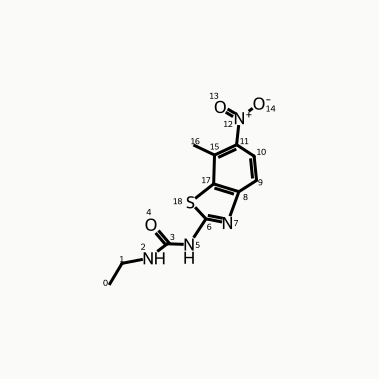 CCNC(=O)Nc1nc2ccc([N+](=O)[O-])c(C)c2s1